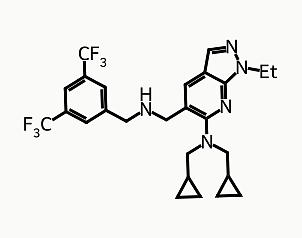 CCn1ncc2cc(CNCc3cc(C(F)(F)F)cc(C(F)(F)F)c3)c(N(CC3CC3)CC3CC3)nc21